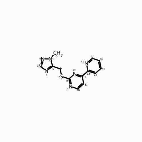 Cn1nnnc1CSc1nccc(-c2ccccn2)n1